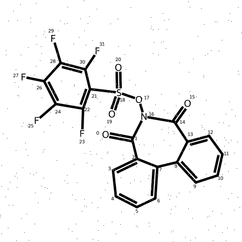 O=c1c2ccccc2c2ccccc2c(=O)n1OS(=O)(=O)c1c(F)c(F)c(F)c(F)c1F